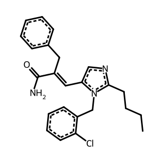 CCCCc1ncc(/C=C(\Cc2ccccc2)C(N)=O)n1Cc1ccccc1Cl